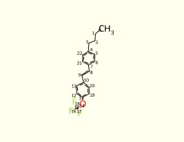 CCCCc1ccc(C=Cc2ccc(OC(F)(F)F)cc2)cc1